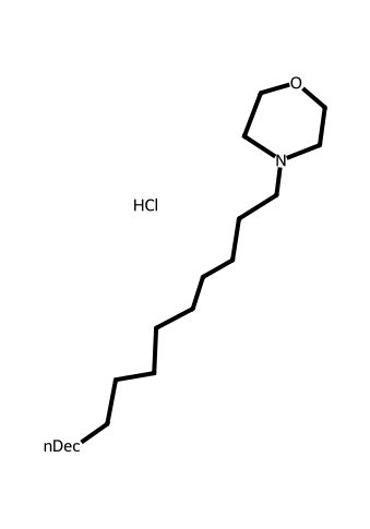 CCCCCCCCCCCCCCCCCCCN1CCOCC1.Cl